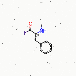 CN[C@@H](Cc1ccccc1)C(=O)I